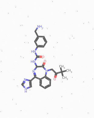 CC(C)(C)C(=O)CN1C(=O)C(NC(=O)Nc2cccc(CN)c2)N=C(c2c[nH]cn2)c2ccccc21